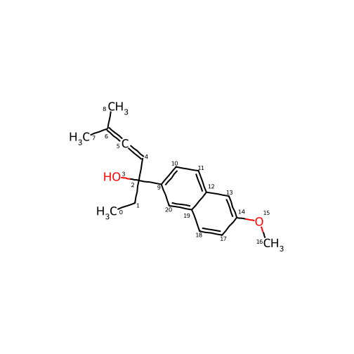 CCC(O)(C=C=C(C)C)c1ccc2cc(OC)ccc2c1